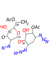 CC(=O)OC1C(N=[N+]=[N-])CC(N=[N+]=[N-])[C@@H](O[C@H]2OC([C@@H](C)OC(C)=O)[C@@H](O)C(OC(C)=O)C2N=[N+]=[N-])C1O